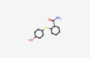 NC(=O)c1ccccc1Sc1ccc(O)cc1